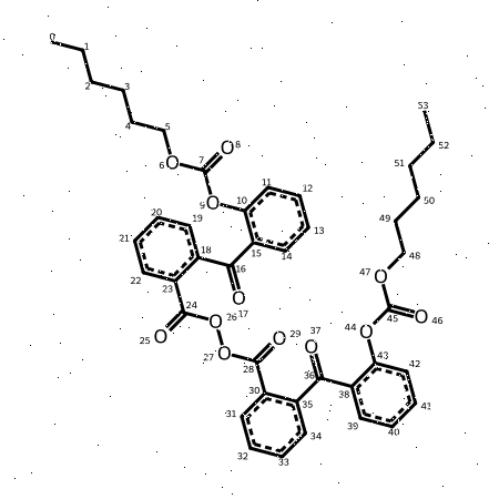 CCCCCCOC(=O)Oc1ccccc1C(=O)c1ccccc1C(=O)OOC(=O)c1ccccc1C(=O)c1ccccc1OC(=O)OCCCCCC